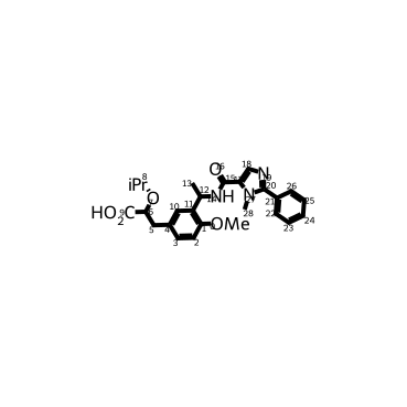 COc1ccc(CC(OC(C)C)C(=O)O)cc1C(C)NC(=O)c1cnc(-c2ccccc2)n1C